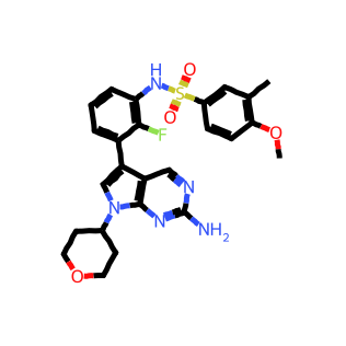 COc1ccc(S(=O)(=O)Nc2cccc(-c3cn(C4CCOCC4)c4nc(N)ncc34)c2F)cc1C